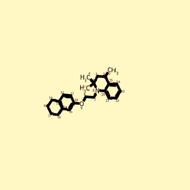 CC1CC(C)(C)N(CCOc2ccc3c(c2)CCCC3)c2ccccc21